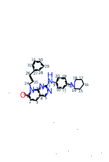 O=c1ccc2cnc(Nc3ccc(N4CCCCC4)cc3)nc2n1C/C=C/c1ccccc1